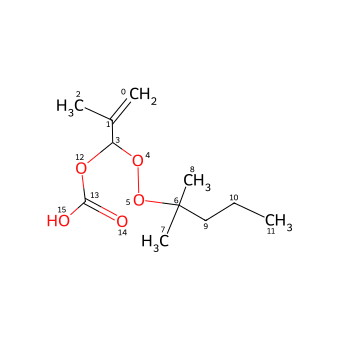 C=C(C)C(OOC(C)(C)CCC)OC(=O)O